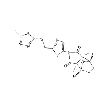 Cc1nnc(SCc2nnc(N3C(=O)[C@@]4(C)[C@@H]5CC[C@@H](O5)[C@@]4(C)C3=O)s2)s1